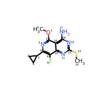 COc1nc(C2CC2)c(F)c2nc(SC)nc(N)c12